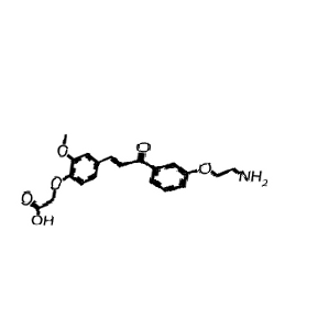 COc1cc(/C=C/C(=O)c2cccc(OCCN)c2)ccc1OCC(=O)O